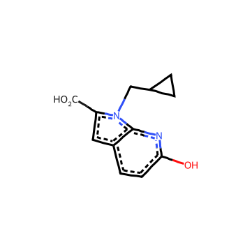 O=C(O)c1cc2ccc(O)nc2n1CC1CC1